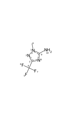 Cn1nc(C(F)(F)F)nc1N